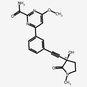 COc1cc(-c2cccc(C#C[C@]3(O)CCN(C)C3=O)c2)nc(C(N)=O)n1